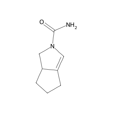 NC(=O)N1C=C2CCCC2C1